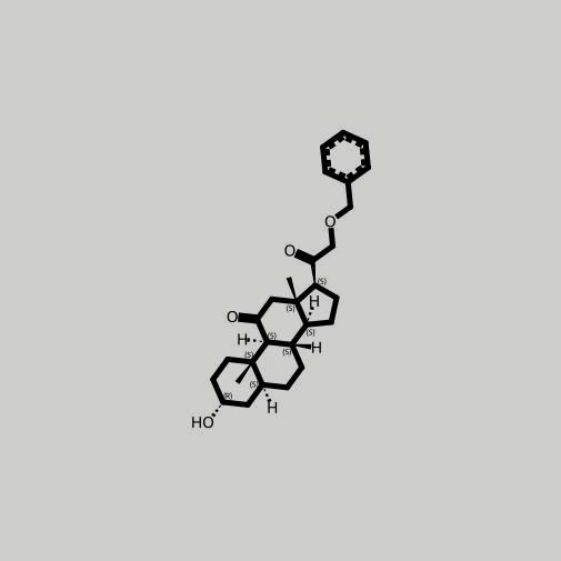 C[C@]12CC[C@@H](O)C[C@@H]1CC[C@H]1[C@@H]3CC[C@H](C(=O)COCc4ccccc4)[C@@]3(C)CC(=O)[C@@H]12